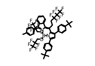 Cc1ccc(C2=N/C(=C(/CCC(F)(F)C(F)(F)C(F)(F)F)c3c(-c4ccc(C(C)(C)C)cc4)cc(-c4ccc(C(C)(C)C)cc4)n3B(OCC(F)(F)C(F)(F)F)OCC(F)(F)C(F)(F)F)c3ccccc32)cc1